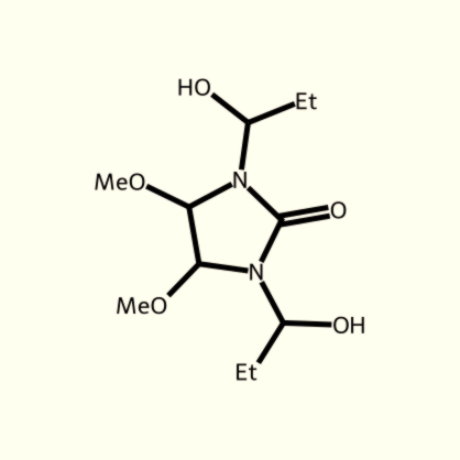 CCC(O)N1C(=O)N(C(O)CC)C(OC)C1OC